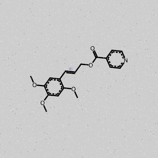 COc1cc(OC)c(OC)cc1/C=C/COC(=O)c1ccncc1